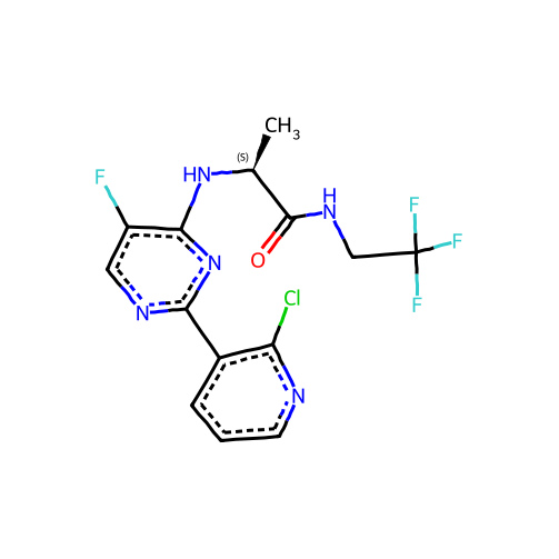 C[C@H](Nc1nc(-c2cccnc2Cl)ncc1F)C(=O)NCC(F)(F)F